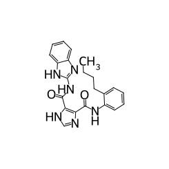 CCCCc1ccccc1NC(=O)c1nc[nH]c1C(=O)Nc1nc2ccccc2[nH]1